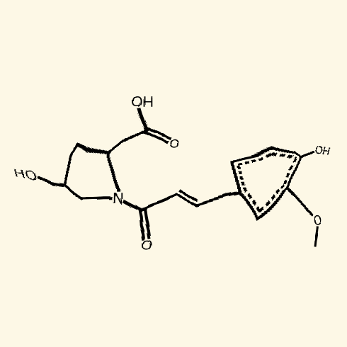 COc1cc(/C=C/C(=O)N2CC(O)CC2C(=O)O)ccc1O